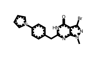 Cn1nc(Br)c2c(=O)[nH]c(Cc3ccc(-n4cccc4)cc3)nc21